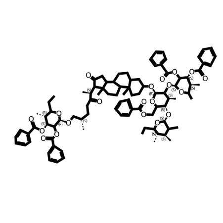 CCC1O[C@@H](O[C@@H]2C(COC(=O)c3ccccc3)O[C@@H](OC3CCC4(C)C(CCC5C4CCC4(C)C5CC(=O)C4[C@H](C)C(=O)CC[C@H](C)CO[C@@H]4OC(CC)[C@@H](C)[C@H](OC(=O)c5ccccc5)C4OC(=O)c4ccccc4)C3)C(O[C@@H]3OC(C)[C@H](C)[C@H](OC(=O)c4ccccc4)C3OC(=O)c3ccccc3)[C@H]2C)C(C)[C@@H](C)[C@@H]1C